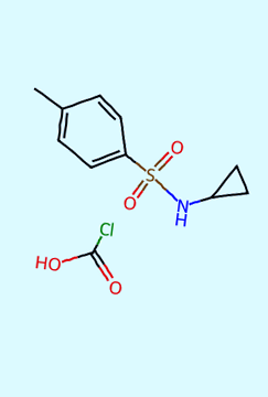 Cc1ccc(S(=O)(=O)NC2CC2)cc1.O=C(O)Cl